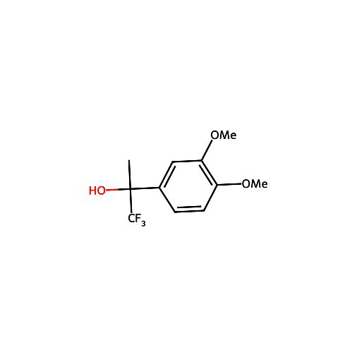 COc1ccc(C(C)(O)C(F)(F)F)cc1OC